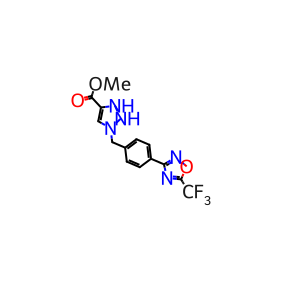 COC(=O)C1=CN(Cc2ccc(-c3noc(C(F)(F)F)n3)cc2)NN1